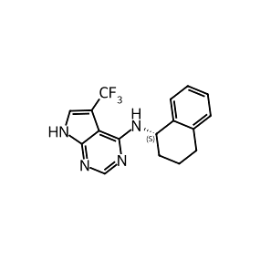 FC(F)(F)c1c[nH]c2ncnc(N[C@H]3CCCc4ccccc43)c12